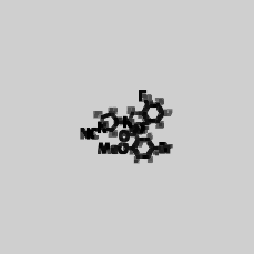 COc1ccc(Br)cc1S(=O)(=O)N(Cc1c(F)cccc1F)[C@@H]1CCN(C#N)C1